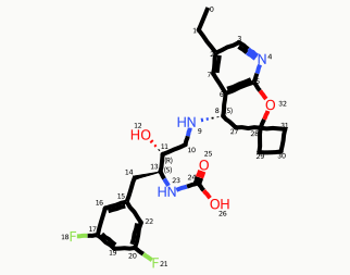 CCc1cnc2c(c1)[C@@H](NC[C@@H](O)[C@H](Cc1cc(F)cc(F)c1)NC(=O)O)CC1(CCC1)O2